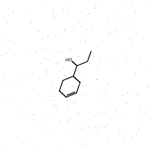 CCC(O)C1CC=CCC1